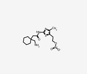 Cc1nc(NC(=O)CC2(CN)CCCCC2)sc1CCO[N+](=O)[O-]